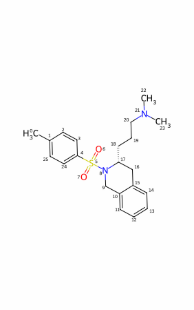 Cc1ccc(S(=O)(=O)N2Cc3ccccc3C[C@H]2CCCN(C)C)cc1